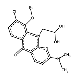 CCOc1c(Cl)ccc2c(=O)c3ccc(N(C)C)nc3n(CC(O)O)c12